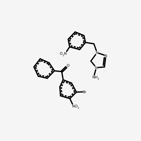 NN1C=NN(Cc2cccc([N+](=O)[O-])c2)C1.O=C(c1ccccc1)c1ccc([N+](=O)[O-])c(Br)c1